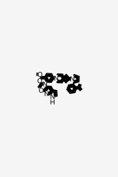 COC(=O)c1ccc(N2CCC3(CC2)CC(N2CCC[C@H]2c2ccccc2C(C)C)C3)cc1N1CCOc2nc3[nH]ccc3cc21